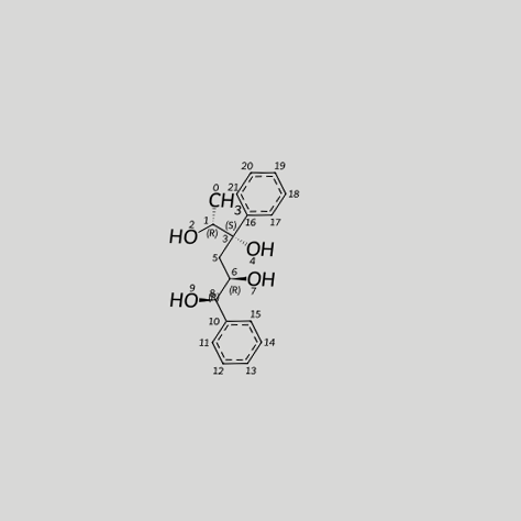 C[C@@H](O)[C@](O)(C[C@@H](O)[C@H](O)c1ccccc1)c1ccccc1